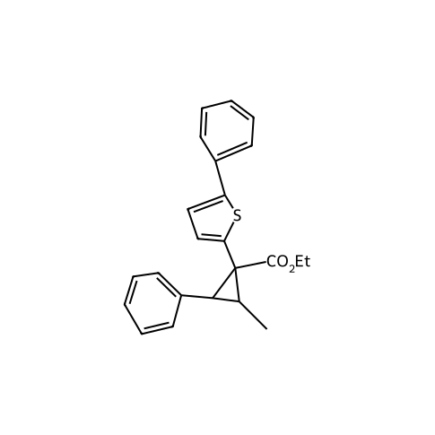 CCOC(=O)C1(c2ccc(-c3ccccc3)s2)C(C)C1c1ccccc1